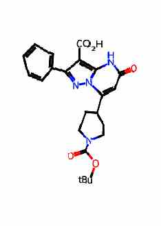 CC(C)(C)OC(=O)N1CCC(c2cc(=O)[nH]c3c(C(=O)O)c(-c4ccccc4)nn23)CC1